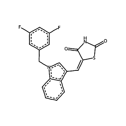 O=C1NC(=O)/C(=C\c2cn(Cc3cc(F)cc(F)c3)c3ccccc23)S1